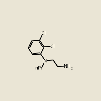 CCCN(CCN)c1cccc(Cl)c1Cl